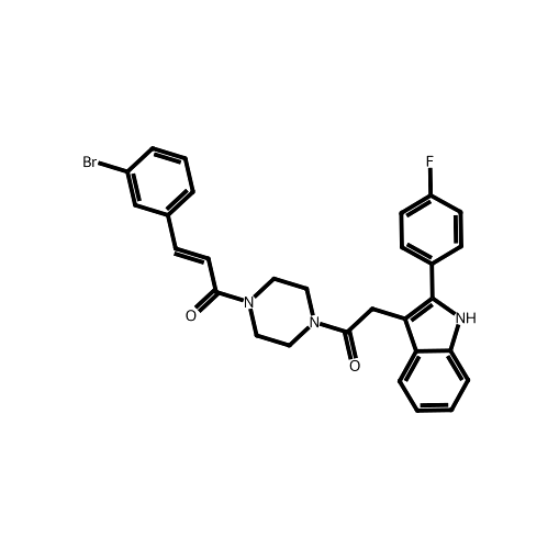 O=C(/C=C/c1cccc(Br)c1)N1CCN(C(=O)Cc2c(-c3ccc(F)cc3)[nH]c3ccccc23)CC1